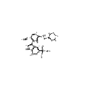 N#Cc1cnc(NCC2CCOCC2)nc1-c1c[nH]c2ncc(C(F)(F)F)cc12